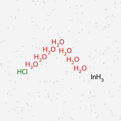 Cl.O.O.O.O.O.O.O.[InH3]